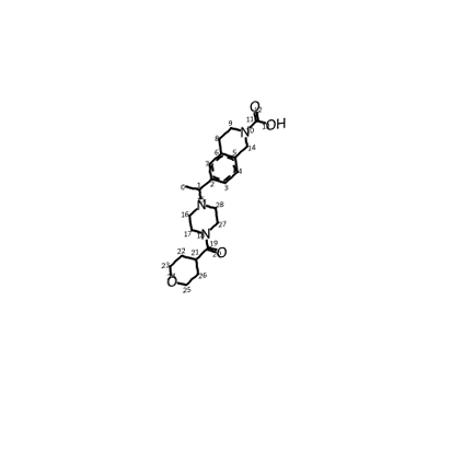 CC(c1ccc2c(c1)CCN(C(=O)O)C2)N1CCN(C(=O)C2CCOCC2)CC1